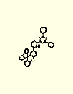 C1=CC(c2cc(-c3ccccc3)nc(-c3ccccc3)n2)NC(c2ccc3c(c2)C2(c4ccccc4O3)c3ccccc3-c3ccccc32)=C1